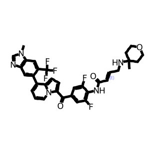 Cn1cnc2cc(-c3cccn4c(C(=O)c5cc(F)c(NC(=O)/C=C/CNC6(C)CCOCC6)c(F)c5)ccc34)c(C(F)(F)F)cc21